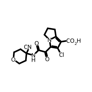 N#CC1(NC(=O)C(=O)c2c(Cl)c(C(=O)O)c3n2CCC3)CCOCC1